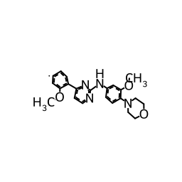 COc1c[c]ccc1-c1ccnc(Nc2ccc(N3CCOCC3)c(OC)c2)n1